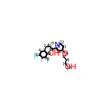 C[C@@H](Cc1cc(F)cc(F)c1)[C@H](O)c1cc(OCCCO)ccn1